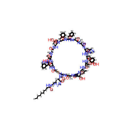 CCCCCCCCCC(=O)NCCCC[C@H](NC(=O)[C@@H]1CSCC(=O)N[C@@H](Cc2c[nH]c3ccccc23)C(=O)N[C@@H]([C@@H](C)O)C(=O)N(C)CC(=O)N[C@@H](CC(=O)O)C(=O)N(C)[C@@H](Cc2ccccc2)C(=O)N(C)[C@@H](Cc2ccccc2)C(=O)N[C@@H](C)C(=O)N(C)[C@@H](C)C(=O)N[C@@H](Cc2cnc[nH]2)C(=O)N[C@@H](Cc2ccc(O)cc2)C(=O)N[C@@H]([C@@H](C)O)C(=O)N[C@@H](C(C)C)C(=O)N2C[C@H](O)C[C@H]2C(=O)N[C@@H](C)C(=O)N1)C(N)=O